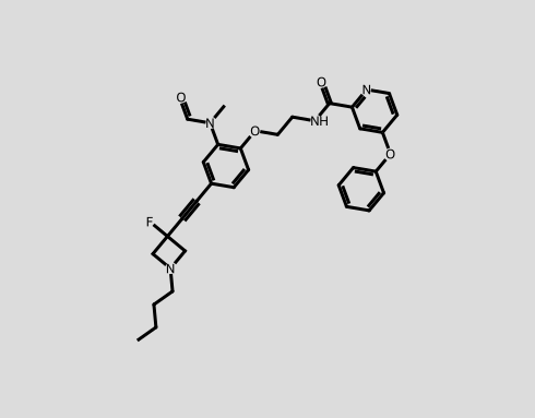 CCCCN1CC(F)(C#Cc2ccc(OCCNC(=O)c3cc(Oc4ccccc4)ccn3)c(N(C)C=O)c2)C1